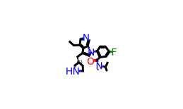 CCc1cncc2c1c(C[C@H]1CCNC1)cn2-c1ccc(F)cc1C(=O)N(C)C(C)C